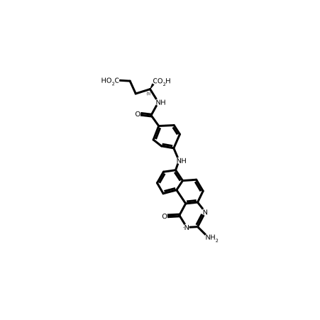 NC1=Nc2ccc3c(Nc4ccc(C(=O)N[C@@H](CCC(=O)O)C(=O)O)cc4)cccc3c2C(=O)[N]1